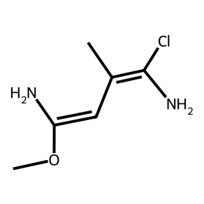 CO/C(N)=C/C(C)=C(\N)Cl